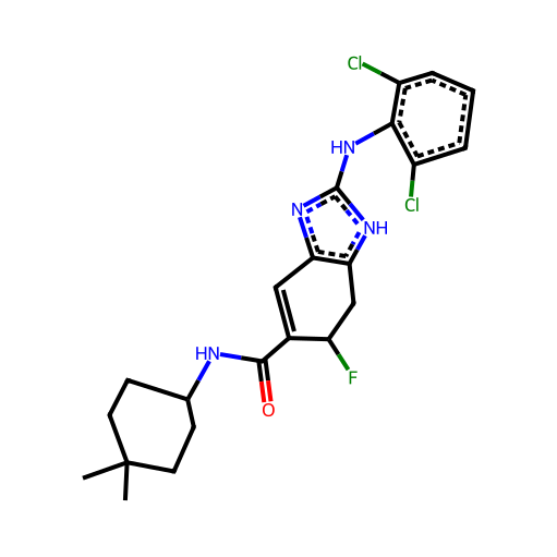 CC1(C)CCC(NC(=O)C2=Cc3nc(Nc4c(Cl)cccc4Cl)[nH]c3CC2F)CC1